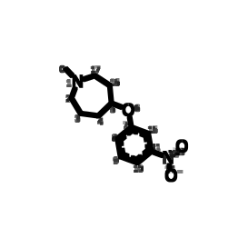 CN1CCCC(Oc2cccc([N+](=O)[O-])c2)CC1